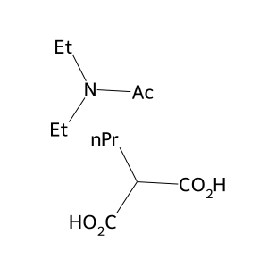 CCCC(C(=O)O)C(=O)O.CCN(CC)C(C)=O